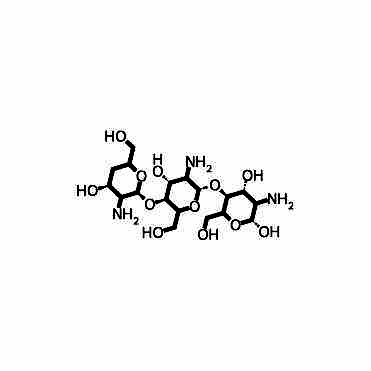 NC1[C@H](O[C@@H]2C(CO)O[C@@H](O)C(N)[C@H]2O)OC(CO)[C@@H](O[C@@H]2OC(CO)C[C@H](O)C2N)[C@@H]1O